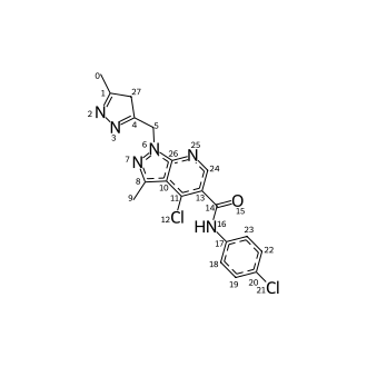 CC1=NN=C(Cn2nc(C)c3c(Cl)c(C(=O)Nc4ccc(Cl)cc4)cnc32)C1